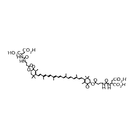 CC1=C(/C=C/C(C)=C/C=C/C(C)=C/C=C/C=C(C)/C=C/C=C(C)/C=C/C2=C(C)C(=O)C(OC(=O)CCNC(=O)NC(CC(=O)O)C(=O)O)CC2(C)C)C(C)(C)CC(OC(=O)CCNC(=O)NC(CC(=O)O)C(=O)O)C1=O